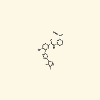 C=C(C#N)c1cccc(NC(=O)c2ccc(Br)c(-n3cc(-c4cnn(C)c4C)nn3)c2)c1